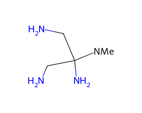 CNC(N)(CN)CN